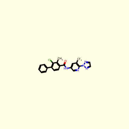 Cc1c(C(=O)Nc2cnc(-n3nccn3)c(C(F)(F)F)c2)ccc(-c2ccccc2)c1Cl